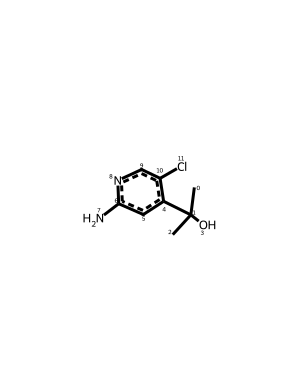 CC(C)(O)c1cc(N)ncc1Cl